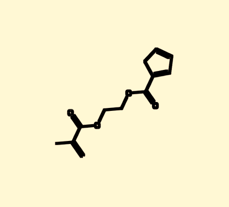 C=C(C)C(=O)OCCOC(=O)C1=CC=CC1